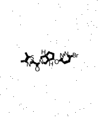 Cc1nc(C(=O)N2C[C@@H]3CC[C@@H](Oc4ccc(Br)nn4)[C@@H]3C2)sc1C